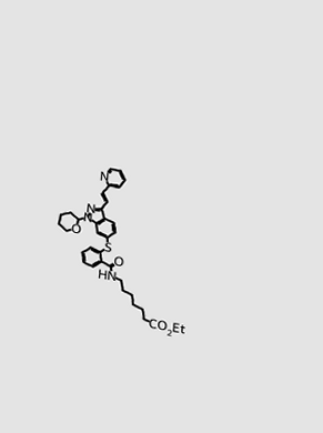 CCOC(=O)CCCCCCNC(=O)c1ccccc1Sc1ccc2c(C=Cc3ccccn3)nn(C3CCCCO3)c2c1